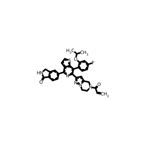 C=CC(=O)N1CCn2nc(-c3nc(-c4ccc5c(c4)CNC5=O)c4ccsc4c3-c3ccc(F)cc3OC(C)C)cc2C1